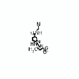 Cn1cc([N+](=O)[O-])nc1-c1nc2cc(C(=O)NCCC#N)ccc2[nH]1